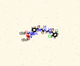 CC(C)(C)OC(=O)/N=C(\NC(=O)OC(C)(C)C)Nc1cccc(C(=O)NCC(=O)NCCNC(=O)c2c(Cl)cccc2Cl)c1